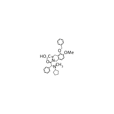 COc1ccc2c(c1OCc1ccccc1)C[C@@H](C(=O)O)N(C(=O)C(c1ccccc1)N(C)C1CCCC1)C2